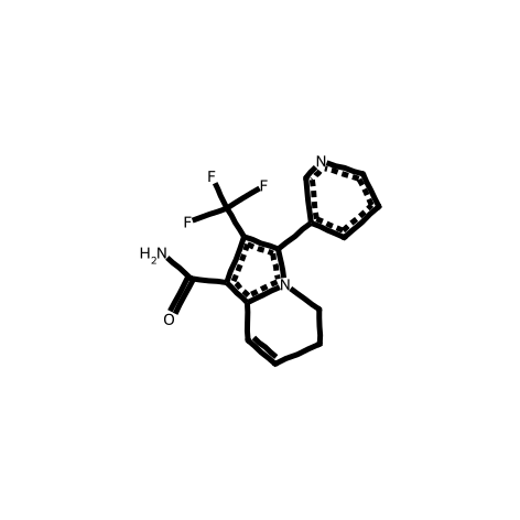 NC(=O)c1c(C(F)(F)F)c(-c2cccnc2)n2c1C=CCC2